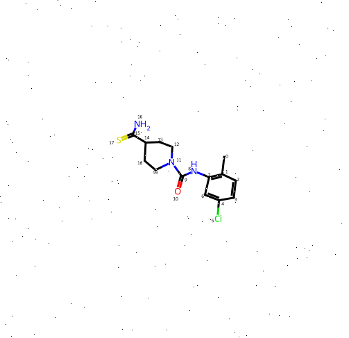 Cc1ccc(Cl)cc1NC(=O)N1CCC(C(N)=S)CC1